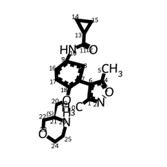 Cc1noc(C)c1-c1cc(NC(=O)C2CC2)ccc1OC[C@@H]1COCCN1